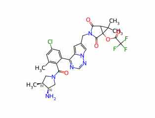 Cc1cc(Cl)cc(-c2ncnn3cc(CN4C(=O)C5C(C)(C)C5(OC(=O)C(F)(F)F)C4=O)cc23)c1C(=O)N1C[C@@H](N)[C@@H](C)C1